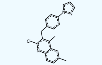 Cc1ccc2nc(Cl)c(Cc3ccc(-n4cccn4)cc3)c(C)c2c1